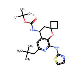 CC(C)(C)Cc1cc2c(c(Nc3nccs3)n1)OC1(CCC1)C[C@@H]2NC(=O)OC(C)(C)C